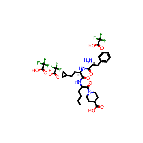 CCCCC(NC(=O)[C@@H](CCC1CC1)NC(=O)[C@H](N)Cc1ccccc1)C(=O)N1CCC(C(=O)O)CC1.O=C(O)C(F)(F)F.O=C(O)C(F)(F)F.O=C(O)C(F)(F)F